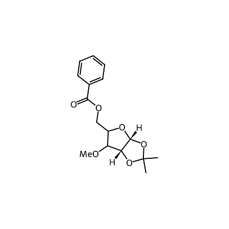 COC1C(COC(=O)c2ccccc2)O[C@@H]2OC(C)(C)O[C@H]12